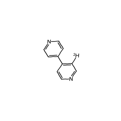 [2H]c1cnccc1-c1ccncc1